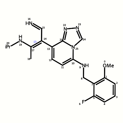 COc1cccc(F)c1CNc1ccc(/C(C=N)=C(\C)NC(C)C)c2nncn12